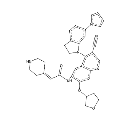 N#Cc1cnc2cc(OC3CCOC3)c(NC(=O)C=C3CCNCC3)cc2c1N1CCc2ccc(-n3cccc3)cc21